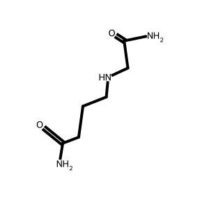 NC(=O)CCCNCC(N)=O